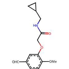 COc1ccc(C=O)cc1OCC(=O)NCC1CC1